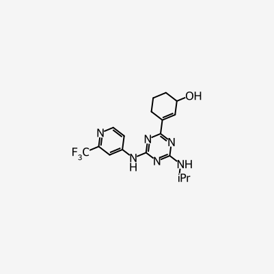 CC(C)Nc1nc(Nc2ccnc(C(F)(F)F)c2)nc(C2=CC(O)CCC2)n1